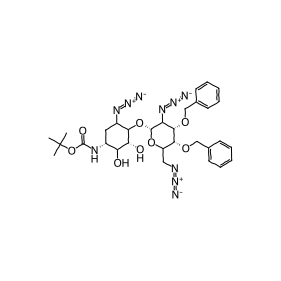 CC(C)(C)OC(=O)N[C@@H]1CC(N=[N+]=[N-])C(O[C@H]2OC(CN=[N+]=[N-])[C@@H](OCc3ccccc3)[C@@H](OCc3ccccc3)C2N=[N+]=[N-])[C@H](O)C1O